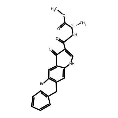 COC(=O)[C@H](C)NC(=O)c1c[nH]c2cc(Cc3ccccc3)c(Br)cc2c1=O